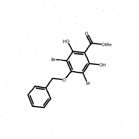 COC(=O)c1c(O)c(Br)c(OCc2ccccc2)c(Br)c1O